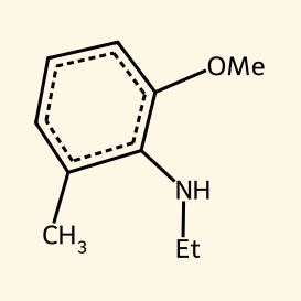 CCNc1c(C)cccc1OC